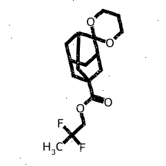 CC(F)(F)COC(=O)C12CC3CC(C1)C1(OCCCO1)C(C3)C2